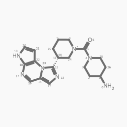 NC1CCN(C(=O)N2CCC[C@@H](c3ncc4cnc5[nH]ccc5n34)C2)CC1